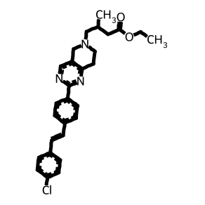 CCOC(=O)CC(C)CN1CCc2nc(-c3ccc(C=Cc4ccc(Cl)cc4)cc3)ncc2C1